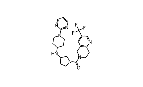 O=C(N1CCc2ncc(C(F)(F)F)cc2C1)N1CCC(NC2CCN(c3ncccn3)CC2)C1